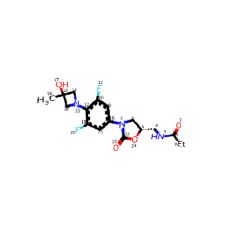 CCC(=O)NC[C@H]1CN(c2cc(F)c(N3CC(C)(O)C3)c(F)c2)C(=O)O1